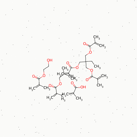 C=C(C)C(=O)O.C=C(C)C(=O)OCC(C)C.C=C(C)C(=O)OCC(CC)(COC(=O)C(=C)C)COC(=O)C(=C)C.C=C(C)C(=O)OCCO